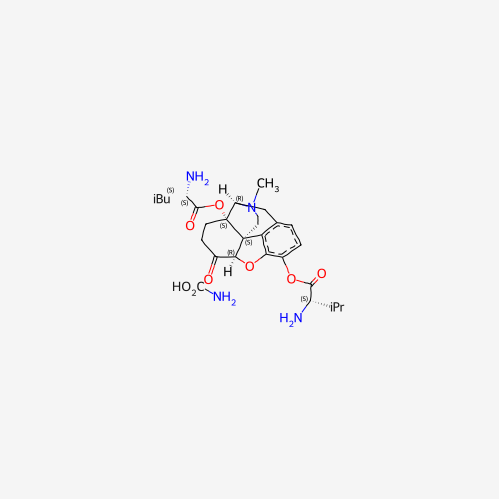 CC[C@H](C)[C@H](N)C(=O)O[C@@]12CCC(=O)[C@@H]3Oc4c(OC(=O)[C@@H](N)C(C)C)ccc5c4[C@@]31CCN(C)[C@@H]2C5.NC(=O)O